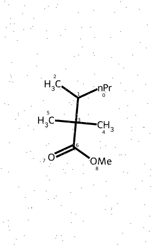 CCCC(C)C(C)(C)C(=O)OC